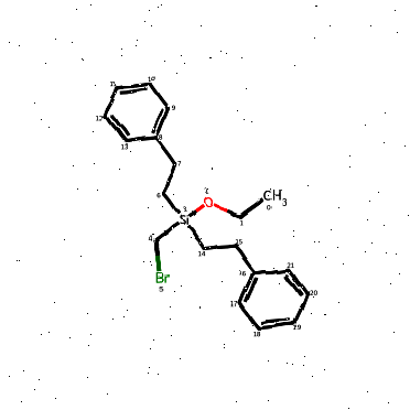 CCO[Si](CBr)(CCc1ccccc1)CCc1ccccc1